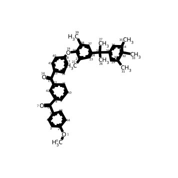 COc1ccc(C(=O)c2cccc(C(=O)c3ccc(Oc4c(C)cc(C(C)(C)c5cc(C)c(C)c(C)c5)cc4C)cc3)c2)cc1